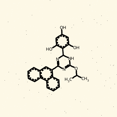 CC(C)OC1=NC(c2cc3ccccc3c3ccccc23)=NC(c2c(O)cc(O)cc2O)N1